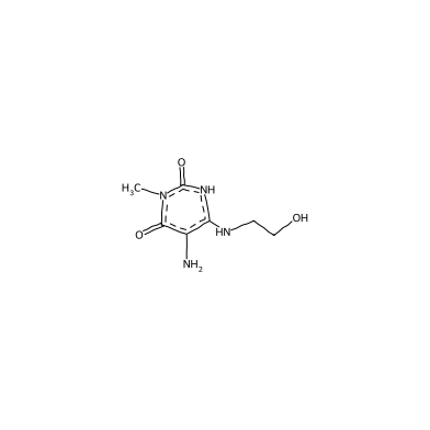 Cn1c(=O)[nH]c(NCCO)c(N)c1=O